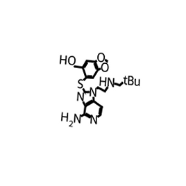 CC(C)(C)CNCCn1c(Sc2cc3c(cc2CO)OCO3)nc2c(N)nccc21